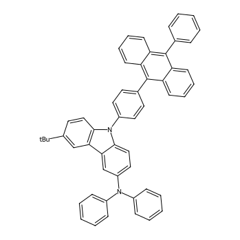 CC(C)(C)c1ccc2c(c1)c1cc(N(c3ccccc3)c3ccccc3)ccc1n2-c1ccc(-c2c3ccccc3c(-c3ccccc3)c3ccccc23)cc1